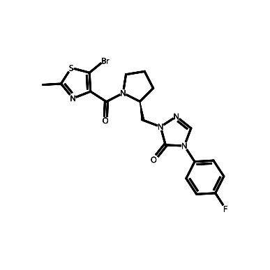 Cc1nc(C(=O)N2CCC[C@H]2Cn2ncn(-c3ccc(F)cc3)c2=O)c(Br)s1